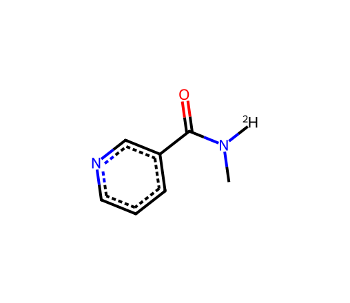 [2H]N(C)C(=O)c1cccnc1